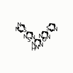 c1c[nH]nn1.c1cnon1.c1cnsn1.c1cscn1.c1nncs1